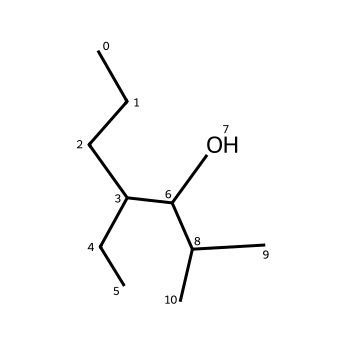 CCCC(CC)C(O)C(C)C